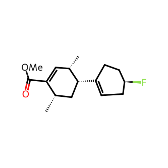 COC(=O)C1=C[C@H](C)[C@H](C2=CC[C@H](F)CC2)C[C@@H]1C